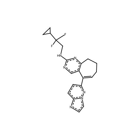 FC(F)(CNc1ncc2c(n1)CCCC=C2c1ccc2nccn2n1)C1CC1